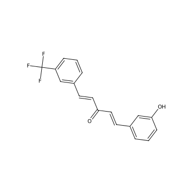 O=C(/C=C/c1cccc(O)c1)/C=C/c1cccc(C(F)(F)F)c1